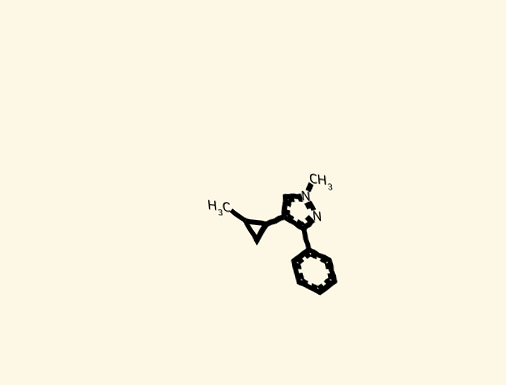 CC1CC1c1cn(C)nc1-c1ccccc1